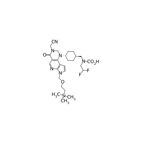 C[Si](C)(C)CCOCn1ccc2c3c(cnc21)C(=O)N(CC#N)CN3[C@H]1CC[C@H](CN(CC(F)F)C(=O)O)CC1